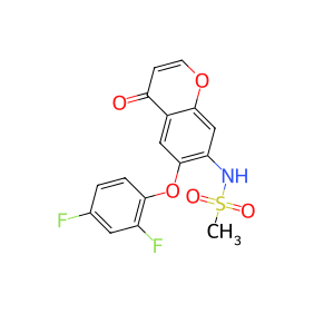 CS(=O)(=O)Nc1cc2occc(=O)c2cc1Oc1ccc(F)cc1F